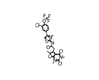 Cc1oc2c(c1CC(=O)N=c1scc(-c3ccc(OC(F)(F)F)c(Cl)c3)n1C)c(=O)n(C)c(=O)n2C